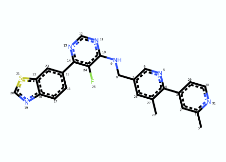 Cc1cc(-c2ncc(CNc3ncnc(-c4ccc5ncsc5c4)c3F)cc2C)ccn1